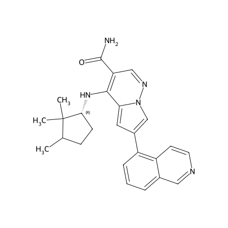 CC1CC[C@@H](Nc2c(C(N)=O)cnn3cc(-c4cccc5cnccc45)cc23)C1(C)C